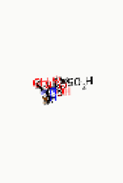 O=C(O)C[C@H]1COC[C@H](NC(=O)/C(=C\CCO)c2cccs2)B(O)O1